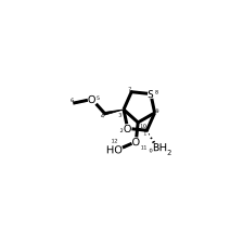 B[C@@H]1O[C@]2(COC)CSC1C2OO